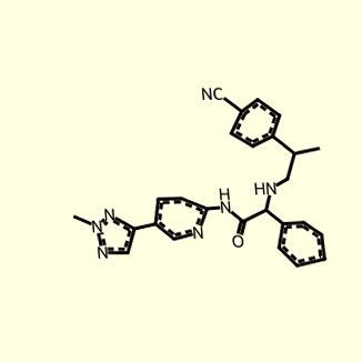 CC(CNC(C(=O)Nc1ccc(-c2cnn(C)n2)cn1)c1ccccc1)c1ccc(C#N)cc1